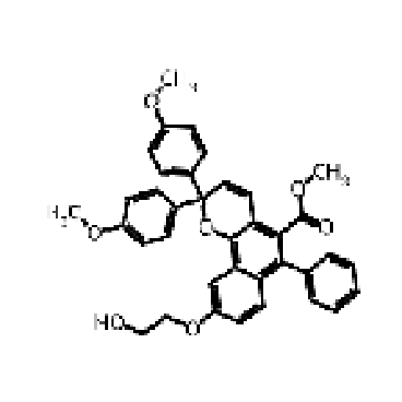 COC(=O)c1c2c(c3cc(OCCO)ccc3c1-c1ccccc1)OC(c1ccc(OC)cc1)(c1ccc(OC)cc1)C=C2